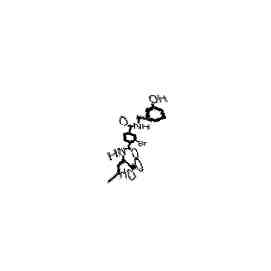 CCC=C(NC(=O)c1ccc(C(=O)NCc2cccc(O)c2)cc1Br)C(=O)O